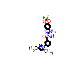 Cc1cc(C)n(-c2cccc(C(=O)Nc3nc4cc5c(cc4[nH]3)OC(F)(F)O5)c2)n1